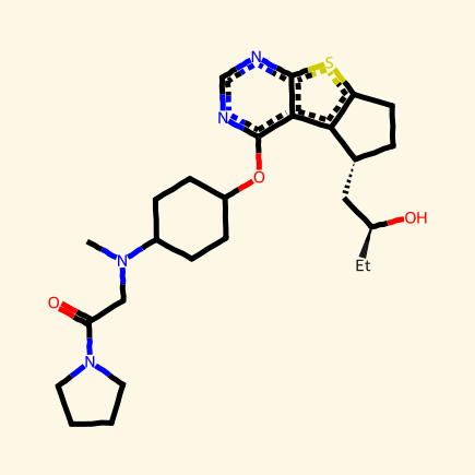 CC[C@H](O)C[C@H]1CCc2sc3ncnc(OC4CCC(N(C)CC(=O)N5CCCC5)CC4)c3c21